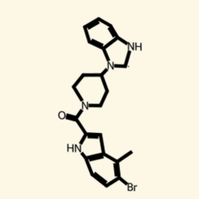 Cc1c(Br)ccc2[nH]c(C(=O)N3CCC(N4[CH]Nc5ccccc54)CC3)cc12